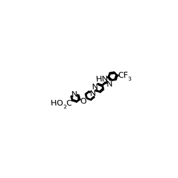 O=C(O)c1cncc(OC2CCN(c3ccc(-c4nc5cc(C(F)(F)F)ccc5[nH]4)cn3)CC2)c1